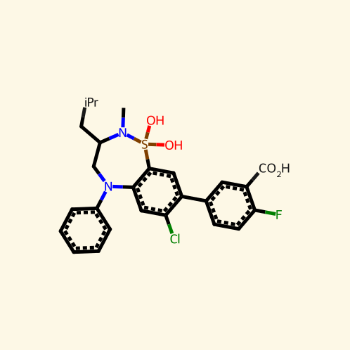 CC(C)CC1CN(c2ccccc2)c2cc(Cl)c(-c3ccc(F)c(C(=O)O)c3)cc2S(O)(O)N1C